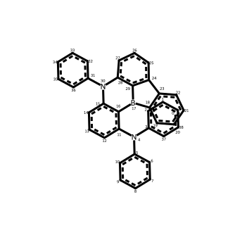 c1ccc(N(c2ccccc2)c2cccc3c2B2c4ccccc4-c4cccc(c42)N3c2ccccc2)cc1